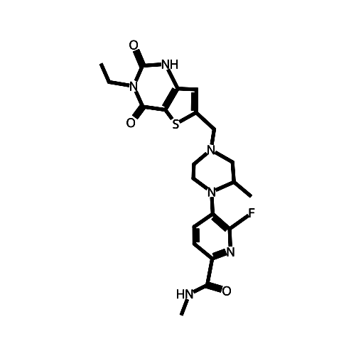 CCn1c(=O)[nH]c2cc(CN3CCN(c4ccc(C(=O)NC)nc4F)C(C)C3)sc2c1=O